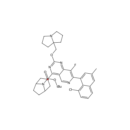 Cc1cc(-c2ncc3c(N4CC5CCC(C4)N5C(=O)OC(C)(C)C)nc(OCC45CCCN4CCC5)nc3c2F)c2c(Cl)cccc2c1